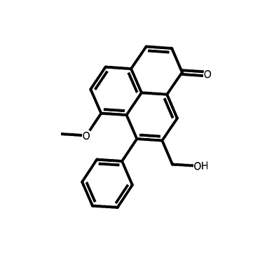 COc1ccc2c3c(cc(CO)c(-c4ccccc4)c13)C(=O)C=C2